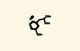 C#N.COc1cncc(CC(OC)OC)c1